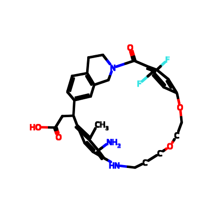 Cc1c2ccc(c1N)NCCCOCCOc1cc(F)c(c(F)c1)C(=O)N1CCc3ccc(cc3C1)C2CC(=O)O